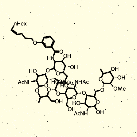 CCCCCC/C=C\CCCOc1cccc(C(=O)N[C@@H]2C(O[C@H]3C(O)C(NC(C)=O)[C@H](OC(C)C(CO)O[C@@H](O[C@H]4C(O)C(NC(C)=O)[C@H](OC5C(CO[C@@H]6OC(C)C(O)[C@H](O)[C@H]6OC)OC(O)[C@@H](NC(C)=O)[C@H]5O)O[C@H]4CO)[C@H](O)NC(C)=O)O[C@H]3CO)OC(CO)[C@@H](O)[C@@H]2O)c1